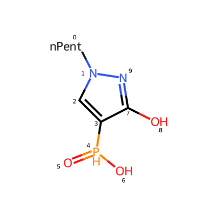 CCCCCn1cc([PH](=O)O)c(O)n1